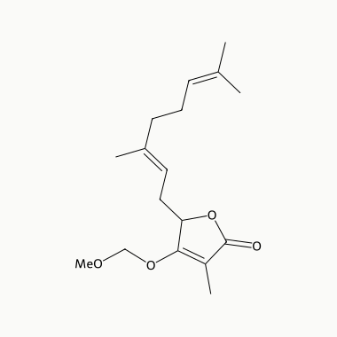 COCOC1=C(C)C(=O)OC1C/C=C(\C)CCC=C(C)C